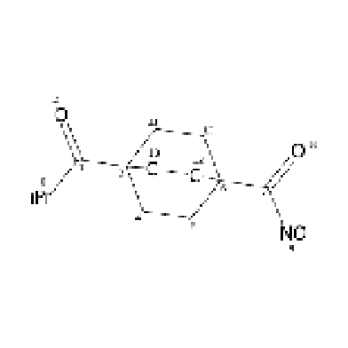 CC(C)C(=O)C12CCC(C(=O)N=O)(CC1)CC2